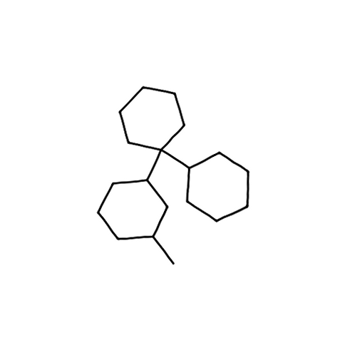 CC1CCCC(C2(C3CCCCC3)CCCCC2)C1